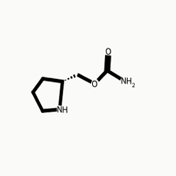 NC(=O)OC[C@H]1CCCN1